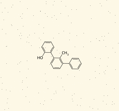 Cc1c(-c2ccccc2)cccc1-c1ccccc1O